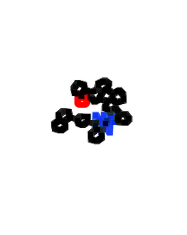 c1ccc2c(-c3ccc(-c4nc(-n5c6ccccc6c6c7cccc8c9cccc%10c%11c(cc(c(cc65)c87)c9%10)oc5ccccc5%11)nc5ccccc45)cc3)cccc2c1